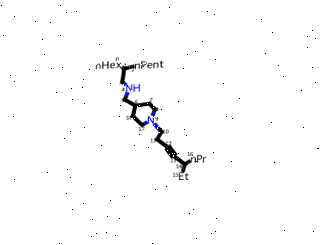 CCCCCCC(CCCCC)CNCC1CCN(CCC#CC(CC)CCC)CC1